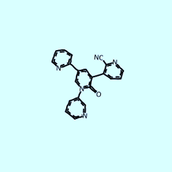 N#Cc1ncccc1-c1cc(-c2ccccn2)cn(-c2cccnc2)c1=O